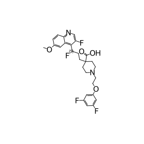 COc1ccc2ncc(F)c([C@@H](F)CCC3(C(=O)O)CCN(CCOc4cc(F)cc(F)c4)CC3)c2c1